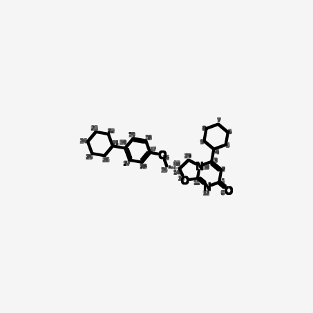 O=c1cc(C2CCCCC2)n2c(n1)O[C@H](COc1ccc(C3CCCCC3)cc1)C2